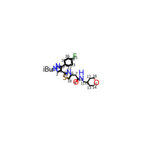 CCC(C)n1cc(-c2nc(CC(=O)NCC3CCOCC3)cs2)c(-c2ccc(F)cc2)n1